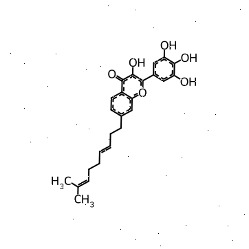 CC(C)=CCC/C=C/CCc1ccc2c(=O)c(O)c(-c3cc(O)c(O)c(O)c3)oc2c1